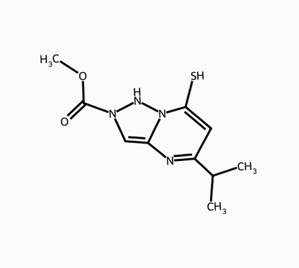 COC(=O)N1C=C2N=C(C(C)C)C=C(S)N2N1